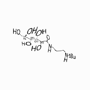 CC(C)(C)NCCCNC(=O)[C@H](O)[C@@H](O)[C@H](O)[C@H](O)CO